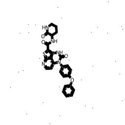 O=C(NC1CCCNC1=O)c1sc2nccc3c2c1NC(=O)N3c1ccc(Oc2ccccc2)cc1